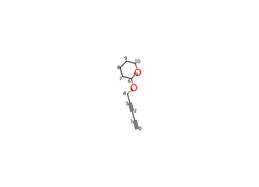 C#CC#CCOC1CCCCO1